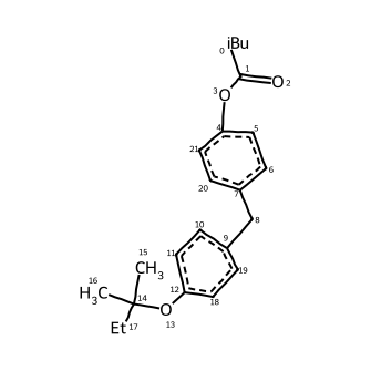 CCC(C)C(=O)Oc1ccc(Cc2ccc(OC(C)(C)CC)cc2)cc1